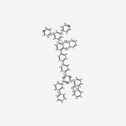 C1=CC2Oc3c(-c4ccc(-c5ccc(-c6nc(-c7cccc(-c8ccccc8)c7)nc(-c7cccc8c7oc7ccccc78)n6)cc5)cc4)ccc(-c4cc(-c5ccncc5)cc(-c5ccncc5)c4)c3OC2C=C1